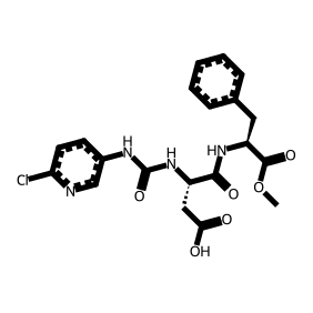 COC(=O)[C@H](Cc1ccccc1)NC(=O)[C@H](CC(=O)O)NC(=O)Nc1ccc(Cl)nc1